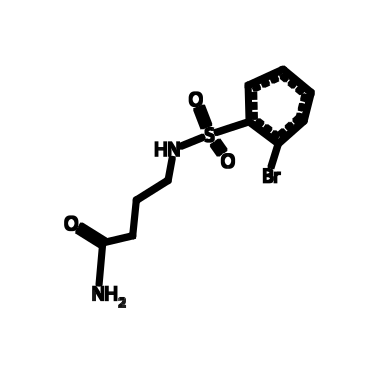 NC(=O)CCCNS(=O)(=O)c1ccccc1Br